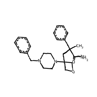 CC(CC1(N2CCN(Cc3ccccc3)CC2)COC1)(C(N)=O)c1ccccc1